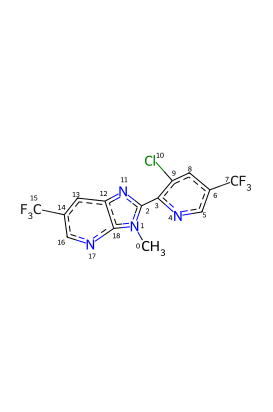 Cn1c(-c2ncc(C(F)(F)F)cc2Cl)nc2cc(C(F)(F)F)cnc21